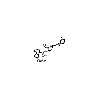 COc1ccc2nccc([C@@H](O)CC[C@@H]3CCN(CCCSc4cccc(C)c4)C[C@@H]3CO)c2c1